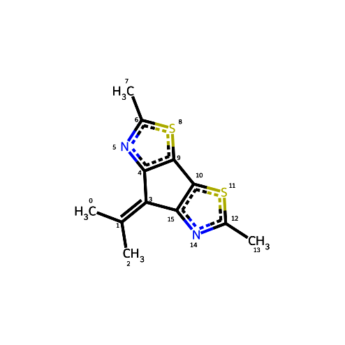 CC(C)=C1c2nc(C)sc2-c2sc(C)nc21